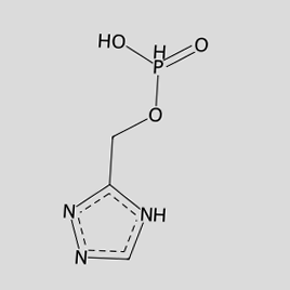 O=[PH](O)OCc1nnc[nH]1